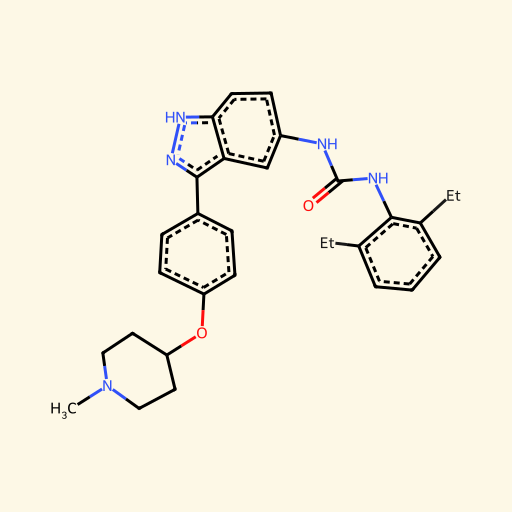 CCc1cccc(CC)c1NC(=O)Nc1ccc2[nH]nc(-c3ccc(OC4CCN(C)CC4)cc3)c2c1